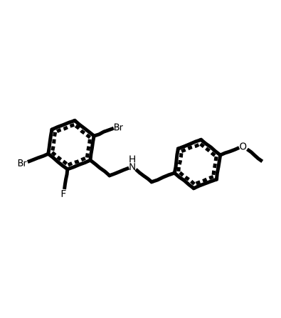 COc1ccc(CNCc2c(Br)ccc(Br)c2F)cc1